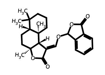 CC1(C)CCC[C@]2(C)[C@@H]1CC[C@]1(C)OC(=O)/C(=C/OC3OC(=O)c4ccccc43)[C@@H]21